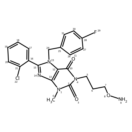 Cn1c(=O)n(CCCON)c(=O)c2c1nc(-c1ccccc1Cl)n2Cc1ccc(F)cc1